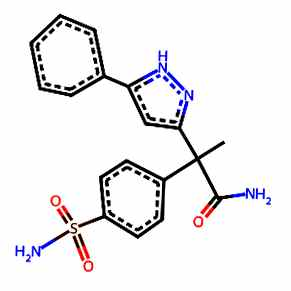 CC(C(N)=O)(c1ccc(S(N)(=O)=O)cc1)c1cc(-c2ccccc2)[nH]n1